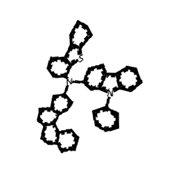 c1ccc(-n2c3ccccc3c3ccc(N(c4ccc5c(ccc6ccc7ccccc7c65)c4)c4cccc5c4sc4ccccc45)cc32)cc1